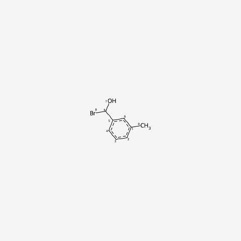 Cc1cccc(C(O)Br)c1